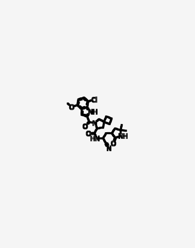 COc1ccc(Cl)c2[nH]c(C(=O)N3CC4(CCC4)CC3C(=O)NC(C#N)CC3CC(C)(C)NC3=O)cc12